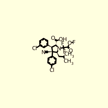 CC(C)C[C@@H]1N(C(F)(F)C(=O)OF)[C@@H](C(=O)O)[C@H](c2cccc(Cl)c2)[C@@]1(C#N)c1ccc(Cl)cc1